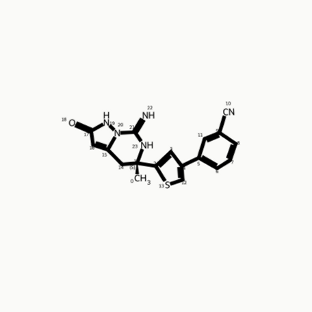 C[C@@]1(c2cc(-c3cccc(C#N)c3)cs2)Cc2cc(=O)[nH]n2C(=N)N1